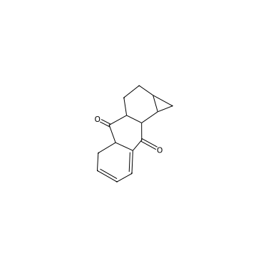 O=C1C2CC=CC=C2C(=O)C2C1CCC1CC12